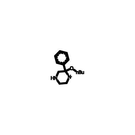 CCCCOC1(c2ccccc2)CNCC[N]1